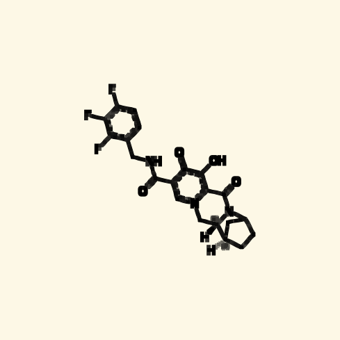 O=C(NCc1ccc(F)c(F)c1F)c1cn2c(c(O)c1=O)C(=O)N1C3CC[C@H](C3)[C@@H]1C2